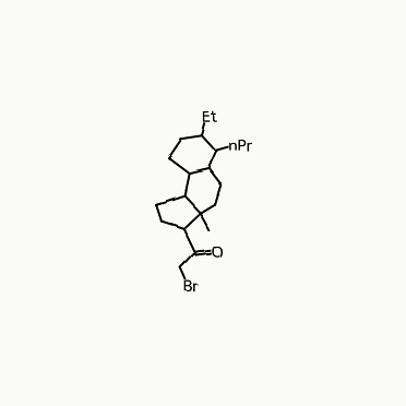 CCCC1C(CC)CCC2C1CCC1(C)C(C(=O)CBr)CCC21